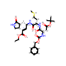 CCOC(=O)/C=C/[C@H](C[C@@H]1CCNC1=O)NC(=O)[C@H](CCSC)NC(=O)[C@H](CC(=O)OC(C)(C)C)NC(=O)OCc1ccccc1